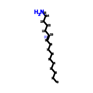 CCCCCCCCC/C=C/CCCCN